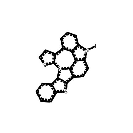 In1c2cccc3c4ccsc4n4c5c6ccccc6sc5c5ccc1c(c32)c54